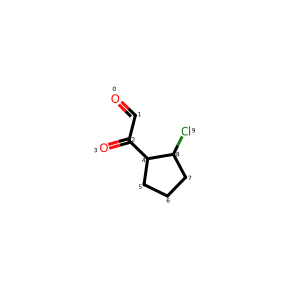 O=CC(=O)C1CCCC1Cl